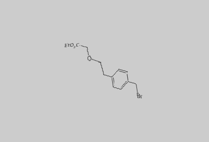 CCOC(=O)COCCc1ccc(CBr)cc1